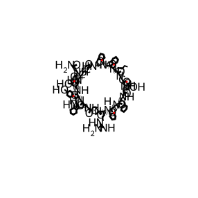 CCCC[C@H]1C(=O)N(C)CC(=O)N[C@@H](CC(=O)O)C(=O)N[C@@H](Cc2ccccc2)C(=O)N(C)[C@@H](Cc2ccccc2)C(=O)N[C@@H](CCCNC(=N)N)C(=O)N(C)CC(=O)N[C@@H](Cc2c[nH]c3ccccc23)C(=O)N[C@@H](Cc2ccc(O)cc2)C(=O)N[C@@H](CC(=O)O)C(=O)N[C@H](C(=O)NCC(N)=O)CSCC(=O)N[C@@H](Cc2ccccc2)C(=O)N(C)[C@@H](Cc2ccccc2)C(=O)N1C